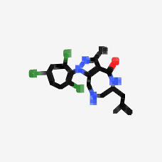 C=C(C)CC1CNCc2c(c(CC)nn2C2=C(Cl)CC=C(Cl)C=C2Cl)C(=O)N1